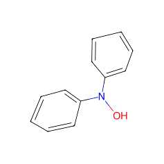 ON(c1ccccc1)c1ccccc1